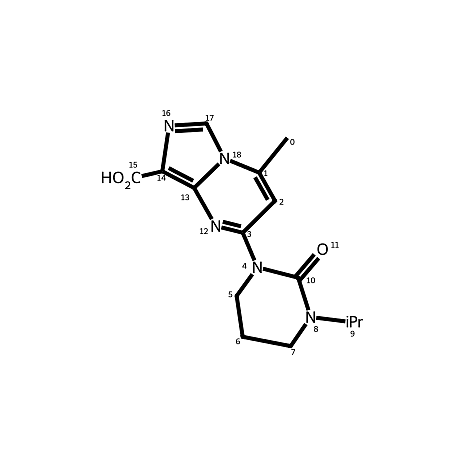 Cc1cc(N2CCCN(C(C)C)C2=O)nc2c(C(=O)O)ncn12